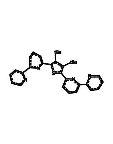 CC(C)(C)c1c(-c2cccc(-c3ccccn3)n2)sc(-c2cccc(-c3ccccn3)n2)c1C(C)(C)C